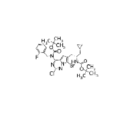 CC(C)(C)OC(=O)N[C@H](Cc1cc2c(N(Cc3ccccc3F)C(=O)OC(C)(C)C)nc(Cl)nn2c1Br)CC1CC1